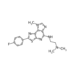 CN(C)CCNc1nc2sc(-c3ccc(F)cc3)nc2c2c1ncn2C